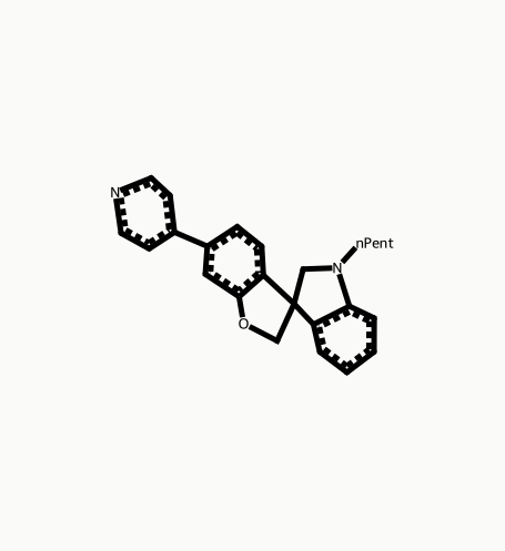 CCCCCN1CC2(COc3cc(-c4ccncc4)ccc32)c2ccccc21